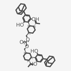 C=C(C)[C@@H]1CC[C@@H](CO[N+](=O)OC[C@@H]2CC[C@@H](C(=C)C)[C@H](c3c(O)cc(C45CC6CC(CC(C6)C4)C5)cc3O)C2)C[C@H]1c1c(O)cc(C23CC4CC(CC(C4)C2)C3)cc1O